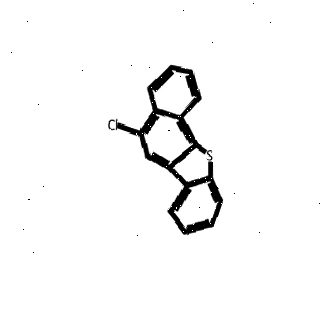 Clc1cc2c3ccccc3sc2c2ccccc12